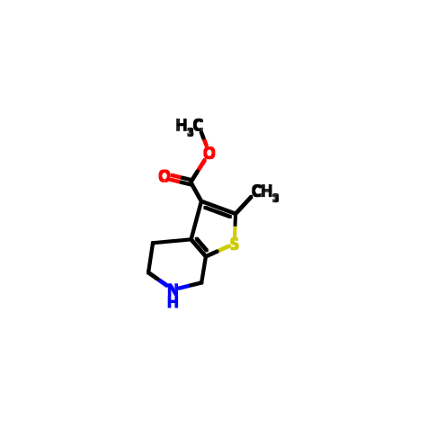 COC(=O)c1c(C)sc2c1CCNC2